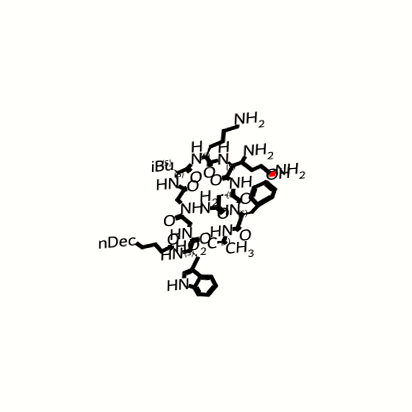 CCCCCCCCCCCCCC(=O)N[C@@H](Cc1c[nH]c2ccccc12)C(=O)NCC(=O)NCC(=O)N[C@H](C(=O)N[C@@H](CCCCN)C(=O)N[C@H](C(=O)N[C@@H](CC(N)=O)C(=O)N[C@@H](Cc1ccc(O)cc1)C(=O)N[C@@H](C)C(=O)O)C(N)CCCN)[C@@H](C)CC